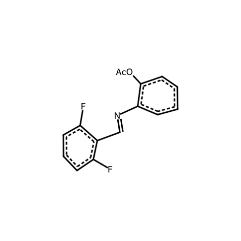 CC(=O)Oc1ccccc1N=Cc1c(F)cccc1F